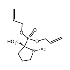 C=CCOP(=O)(OCC=C)[C@@]1(C(=O)O)CCCN1C(C)=O